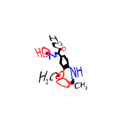 COc1cc(/C(=N/O)C(C)=O)ccc1NC(C)=O